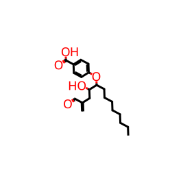 C=C(C=O)CC(O)C(CCCCCCCC)Oc1ccc(C(=O)O)cc1